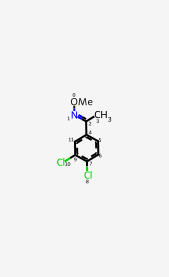 CON=C(C)c1ccc(Cl)c(Cl)c1